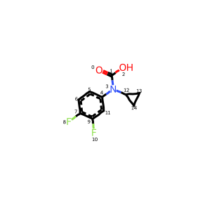 O=C(O)N(c1ccc(F)c(F)c1)C1CC1